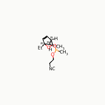 [C-]#[N+]CCOP(C)O[C@@H]1[C@@H]2C=C[C@@]1(CC)O[C@H]2C